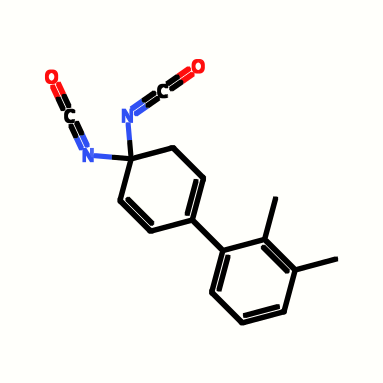 Cc1cccc(C2=CCC(N=C=O)(N=C=O)C=C2)c1C